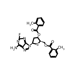 Cc1ccccc1C(=O)OC[C@H]1S[C@@H](n2cnc3c(N)nc(F)nc32)C[C@@H]1OC(=O)c1ccccc1C